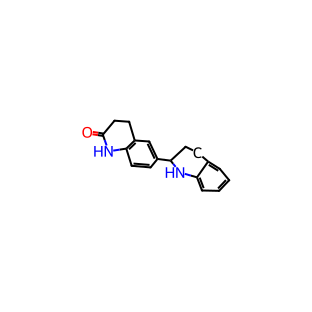 O=C1CCc2cc(C3CCc4ccccc4N3)ccc2N1